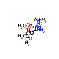 CC(=O)N1c2ccc(C(CN)CNCC(=O)N(C)C3CC3)cc2N(C(=O)OC(C)C)C[C@@H]1C